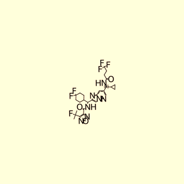 CC(C)(F)c1nonc1C(=O)NC(c1cn2ncc([C@H](NC(=O)CCC(F)(F)F)C3CC3)cc2n1)C1CCC(F)(F)CC1